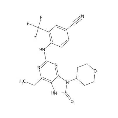 CCc1nc(Nc2ccc(C#N)cc2C(F)(F)F)nc2c1[nH]c(=O)n2C1CCOCC1